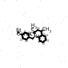 CCOc1ccc(CN2c3ccccc3C(C)CC2(C)C)cc1